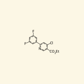 CCOC(=O)c1cnc(-c2cc(F)cc(F)c2)cc1Cl